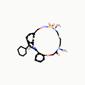 CN1CCCCN(C)S(=O)(=O)NOCc2ccc3c(C4CCCCC4)c(n(C)c3c2)-c2ccccc2OCC1=O